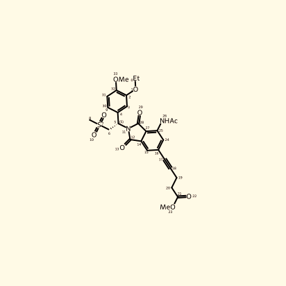 CCOc1cc([C@@H](CS(C)(=O)=O)N2C(=O)c3cc(C#CCCC(=O)OC)cc(NC(C)=O)c3C2=O)ccc1OC